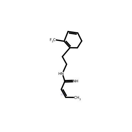 C/C=C\C(=N)NCCC1=C(C(F)(F)F)C=CCC1